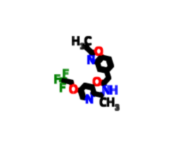 CCc1nc2cc(CC(=O)N[C@H](C)c3ccc(OCC(F)(F)F)cn3)ccc2o1